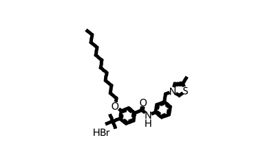 Br.CCCCCCCCCCCCOc1cc(C(=O)Nc2cccc(CN3C=C(C)SC3)c2)ccc1C(C)(C)C